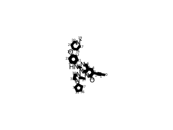 CC#Cc1cc2cnc(Nc3ccc(OC4CCN(C)CC4)cc3)nc2n(Cc2nccn2C2CCCC2)c1=O